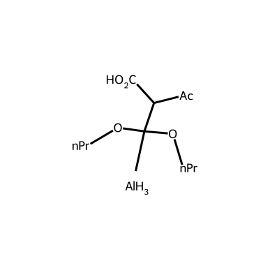 CCCOC(C)(OCCC)C(C(C)=O)C(=O)O.[AlH3]